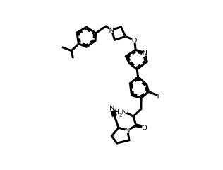 CC(C)c1ccc(CN2CC(Oc3ccc(-c4ccc(CC(N)C(=O)N5CCCC5C#N)c(F)c4)cn3)C2)cc1